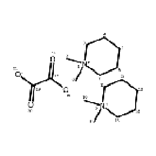 C[N+]1(C)CCCCC1.C[N+]1(C)CCCCC1.O=C([O-])C(=O)[O-]